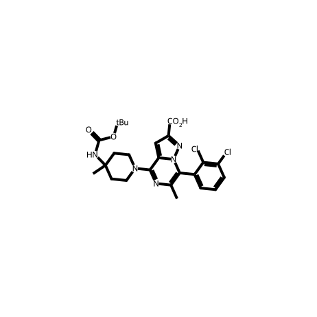 Cc1nc(N2CCC(C)(NC(=O)OC(C)(C)C)CC2)c2cc(C(=O)O)nn2c1-c1cccc(Cl)c1Cl